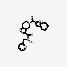 CN(Cc1ccccn1)C(=O)c1noc2c1CN(C(=O)c1cc3ccccc3[nH]1)CC2